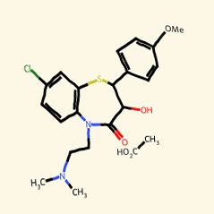 CC(=O)O.COc1ccc(C2Sc3cc(Cl)ccc3N(CCN(C)C)C(=O)C2O)cc1